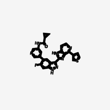 O=C(Nc1cncc(-c2cc3c(-c4nc5c(-c6ccsc6)nccc5[nH]4)n[nH]c3cc2F)c1)C1CC1